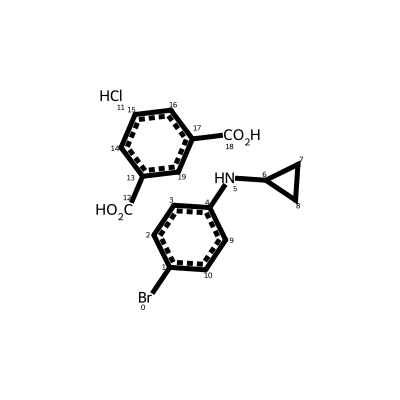 Brc1ccc(NC2CC2)cc1.Cl.O=C(O)c1cccc(C(=O)O)c1